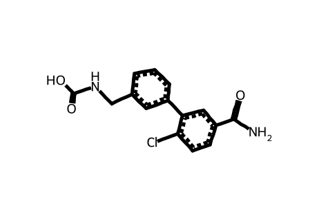 NC(=O)c1ccc(Cl)c(-c2cccc(CNC(=O)O)c2)c1